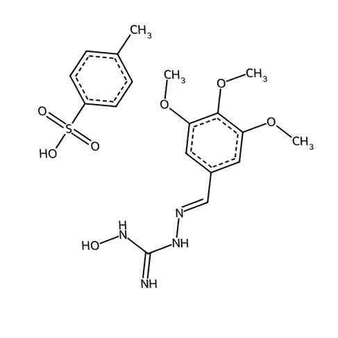 COc1cc(C=NNC(=N)NO)cc(OC)c1OC.Cc1ccc(S(=O)(=O)O)cc1